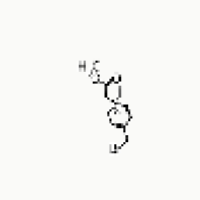 COC(=O)C[C@@]1(I)C=CC(CBr)=CC1